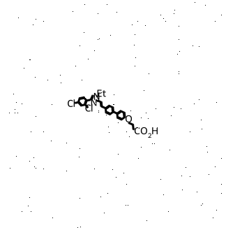 CCn1cc(-c2ccc(Cl)cc2Cl)nc1C=Cc1ccc(-c2ccc(OCCCC(=O)O)cc2)cc1